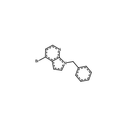 Brc1ccnc2c1ccn2Cc1ccccc1